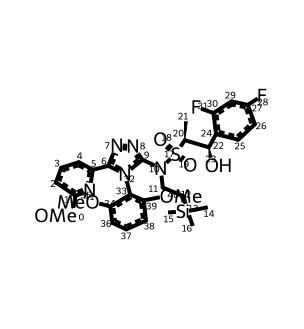 COc1cccc(-c2nnc(N(CC[Si](C)(C)C)S(=O)(=O)[C@@H](C)[C@H](O)c3ccc(F)cc3F)n2-c2c(OC)cccc2OC)n1